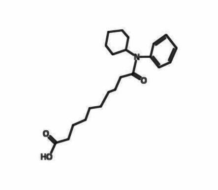 O=C(O)CCCCCCCCC(=O)N(c1ccccc1)C1CCCCC1